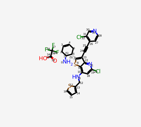 N[C@H]1CC=CC[C@@H]1c1sc2c(NCc3cccs3)cc(Cl)nc2c1C#Cc1ccncc1Cl.O=C(O)C(F)(F)F